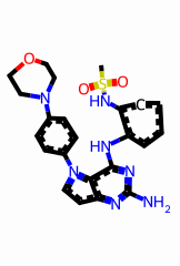 CS(=O)(=O)Nc1ccccc1Nc1nc(N)nc2ccn(-c3ccc(N4CCOCC4)cc3)c12